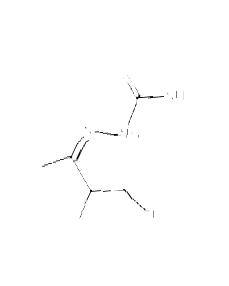 C/C(=N/NC(N)=S)C(C)CC(C)C